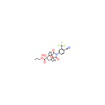 CCCOC(=O)[C@]1(O)CC2(C)OC1(C)[C@@H]1C(=O)N(c3ccc(C#N)c(C(F)(F)F)c3)C(=O)[C@@H]12